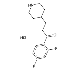 Cl.O=C(CCC1CCNCC1)c1ccc(F)cc1F